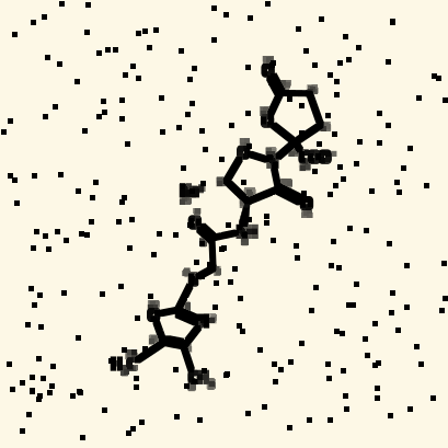 Cc1nc(SCC(=O)N[C@H]2CON(C3(C(=O)[O-])CCC(=O)O3)C2=O)oc1C.[Na+]